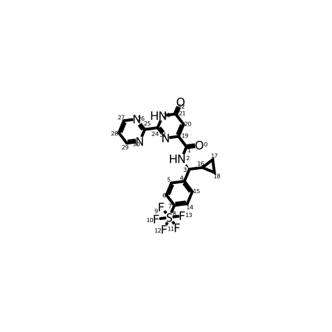 O=C(N[C@@H](c1ccc(S(F)(F)(F)(F)F)cc1)C1CC1)c1cc(=O)[nH]c(-c2ncccn2)n1